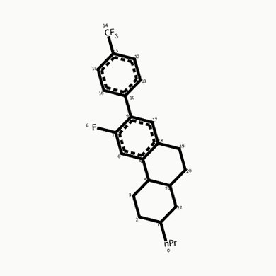 CCCC1CCC2c3cc(F)c(-c4ccc(C(F)(F)F)cc4)cc3CCC2C1